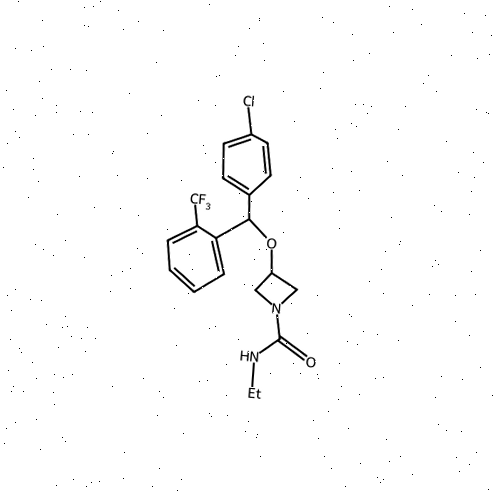 CCNC(=O)N1CC(OC(c2ccc(Cl)cc2)c2ccccc2C(F)(F)F)C1